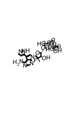 C[C@]1(F)[C@H](O)[C@@H](COP(=O)(O)OP(=O)(O)OP(=O)(O)O)O[C@H]1n1cc(-c2ccn[nH]2)c2c(N)ncnc21